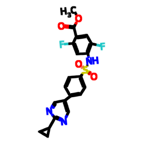 COC(=O)c1cc(F)c(NS(=O)(=O)c2ccc(-c3cnc(C4CC4)nc3)cc2)cc1F